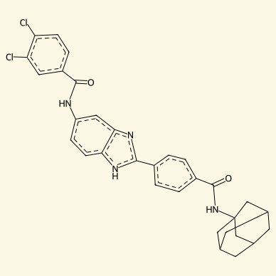 O=C(Nc1ccc2[nH]c(-c3ccc(C(=O)NC45CC6CC(CC(C6)C4)C5)cc3)nc2c1)c1ccc(Cl)c(Cl)c1